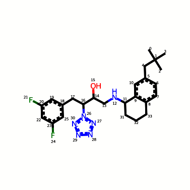 CC(C)(C)Cc1ccc2c(c1)C(NCC(O)C(Cc1cc(F)cc(F)c1)n1nnnn1)CCC2